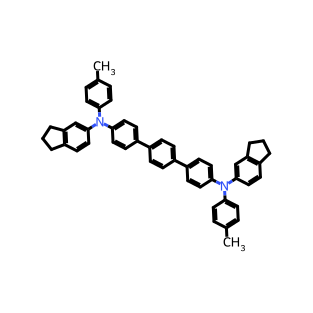 Cc1ccc(N(c2ccc(-c3ccc(-c4ccc(N(c5ccc(C)cc5)c5ccc6c(c5)CCC6)cc4)cc3)cc2)c2ccc3c(c2)CCC3)cc1